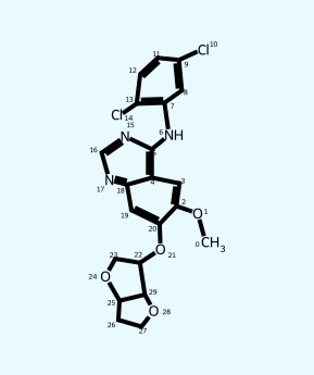 COc1cc2c(Nc3cc(Cl)ccc3Cl)ncnc2cc1OC1COC2CCOC21